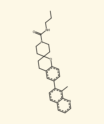 CCCNC(=O)N1CCC2(CCc3cc(-c4ccc5cccnc5c4C)ccc3O2)CC1